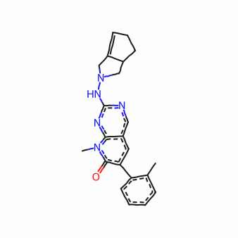 Cc1ccccc1-c1cc2cnc(NN3CC4=CCCC4C3)nc2n(C)c1=O